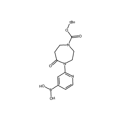 CC(C)(C)OC(=O)N1CCC(=O)N(c2cc(B(O)O)ccn2)CC1